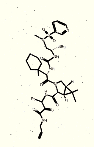 C=CCNC(=O)C(=O)C(CC)NC(=O)[C@@H]1[C@@H]2[C@H](CN1C(=O)[C@@H](NC(=O)N[C@H](CN(C)S(=O)(=O)c1cccnc1)C(C)(C)C)C1(C)CCCCC1)C2(C)C